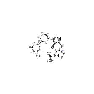 O=C(O)NC/C(=C\F)Cn1ncn(-c2cccc(-c3cccc(Br)c3)c2)c1=O